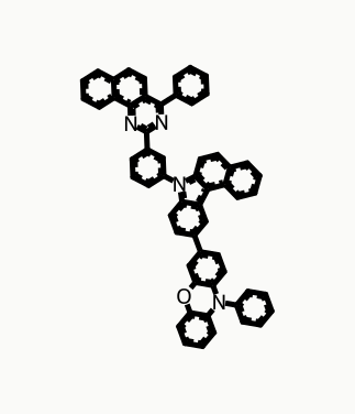 c1ccc(-c2nc(-c3cccc(-n4c5ccc(-c6ccc7c(c6)Oc6ccccc6N7c6ccccc6)cc5c5c6ccccc6ccc54)c3)nc3c2ccc2ccccc23)cc1